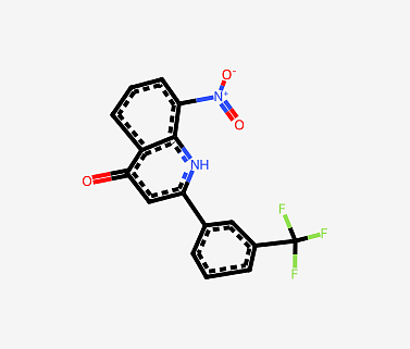 O=c1cc(-c2cccc(C(F)(F)F)c2)[nH]c2c([N+](=O)[O-])cccc12